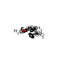 CC(=O)Oc1ccccc1C(=O)O.CN(C)CCCN1c2ccccc2CCc2ccccc21.COc1ccc2c(c1)[C@]13CCCC[C@@H]1[C@H](C2)N(C)CC3